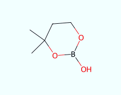 CC1(C)CCOB(O)O1